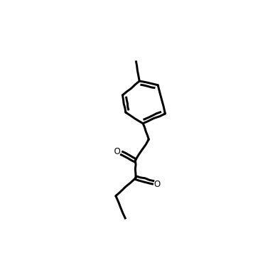 CCC(=O)C(=O)Cc1ccc(C)cc1